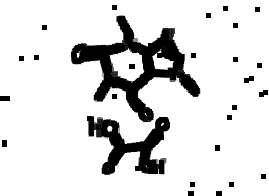 Cn1c(=O)c2c(ncn2C)n(C)c1=O.O=C(O)C(=O)O